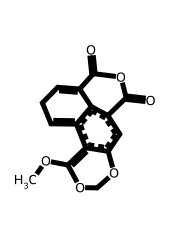 COC1=c2c(cc3c4c2=CCC=C4C(=O)OC3=O)OCO1